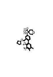 COc1c(-c2ccc(NC3(C(=O)O)CCOCC3)cc2COC2CCCC2)cc(C)c(C)c1OC